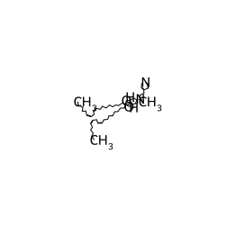 CCCCC/C=C\C/C=C\CCCCCCCCC1(CCCCCCCC/C=C\C/C=C\CCCCC)O[C@H]2C[C@H](N(C)CCc3ccncc3)C[C@H]2O1